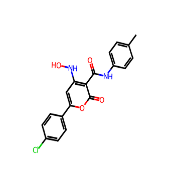 Cc1ccc(NC(=O)c2c(NO)cc(-c3ccc(Cl)cc3)oc2=O)cc1